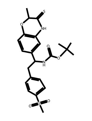 CC1Oc2ccc(C(Cc3ccc(S(C)(=O)=O)cc3)NC(=O)OC(C)(C)C)cc2NC1=S